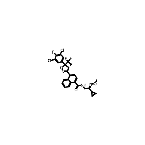 CON=C(CNC(=O)c1ccc(C2=NOC(c3cc(Cl)c(F)c(Cl)c3)(C(F)(F)F)C2)c2ccccc12)C1CC1